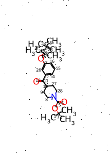 CC(C)(C)OC(=O)N1CCC(C(=O)c2cccc(O[Si](C)(C)C(C)(C)C)c2)CC1